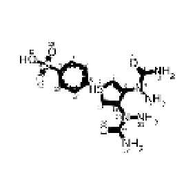 NC(=O)N(N)C1=C[SH](c2ccc(S(=O)(=O)O)cc2)C=C1N(N)C(N)=O